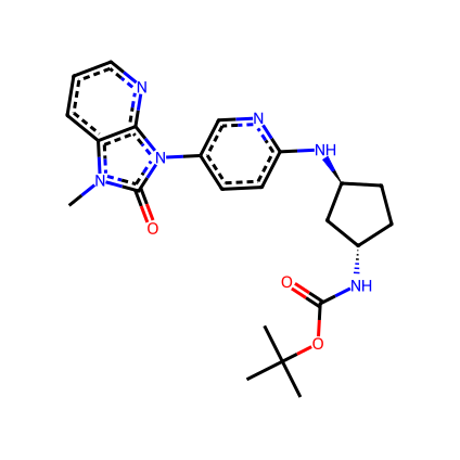 Cn1c(=O)n(-c2ccc(N[C@H]3CC[C@H](NC(=O)OC(C)(C)C)C3)nc2)c2ncccc21